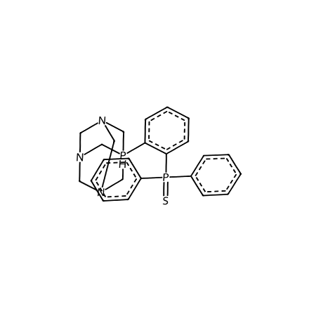 S=P(c1ccccc1)(c1ccccc1)c1ccccc1[PH]12CN3CN(CN(C3)C1)C2